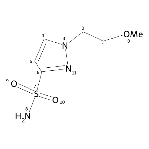 COCCn1ccc(S(N)(=O)=O)n1